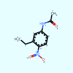 CCc1cc(NC(C)=O)ccc1[N+](=O)[O-]